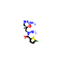 NC[C@H](CN(N)C(=O)c1ccc(Cl)s1)ON